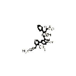 CCNCc1cncc(-c2ccc3[nH]nc(-c4nc(-c5ccccc5)c(C(=O)NC)[nH]4)c3c2)c1C